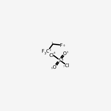 FCC(F)(F)F.O=S(=O)(Cl)Cl